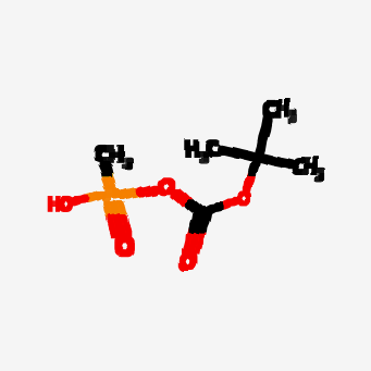 CC(C)(C)OC(=O)OP(C)(=O)O